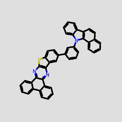 c1cc(-c2ccc3sc4nc5c6ccccc6c6ccccc6c5nc4c3c2)cc(-n2c3ccccc3c3ccc4ccccc4c32)c1